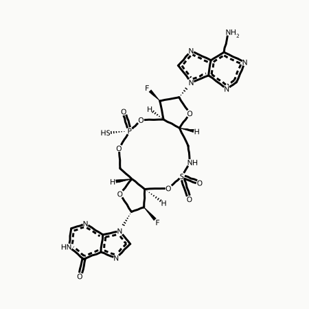 Nc1ncnc2c1ncn2[C@@H]1O[C@@H]2CNS(=O)(=O)O[C@H]3[C@@H](F)[C@H](n4cnc5c(=O)[nH]cnc54)O[C@@H]3CO[P@](=O)(S)O[C@H]2[C@H]1F